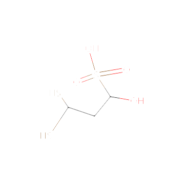 O=S(=O)(O)C(O)CC(S)S